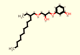 CCCCCCCCCCC(CC)COCC(O)COc1cccc(O)c1